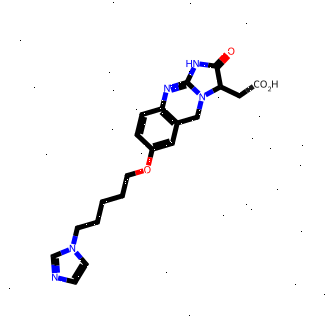 O=C(O)CC1C(=O)NC2=Nc3ccc(OCCCCCn4ccnc4)cc3CN21